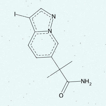 CC(C)(C(N)=O)c1ccc2c(I)cnn2c1